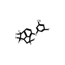 N#Cc1cc(F)cc(Oc2ccc3c4c2C(F)(F)CC4(O)C(F)(F)C3(F)F)c1